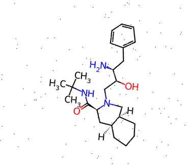 CC(C)(C)NC(=O)[C@@H]1C[C@@H]2CCCC[C@@H]2CN1CC(O)[C@@H](N)Cc1ccccc1